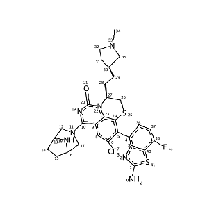 Nc1nc2c(-c3c(C(F)(F)F)cc4c(N5CC6CCC(C5)N6)nc(=O)n5c4c3SC[C@@H]5CC[C@H]3CCN(I)C3)ccc(F)c2s1